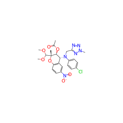 COC(OC)[C@@]1(C)Oc2ccc([N+](=O)[O-])cc2[C@@H](N(Cc2nnn(C)n2)c2ccc(Cl)cc2)[C@@H]1OC(C)=O